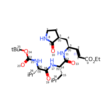 CCOC(=O)/C=C/[C@H](C[C@@H]1CCNC1=O)NC(=O)[C@H](CC(C)C)NC(=O)[C@@H](NC(=O)OC(C)(C)C)C(C)C